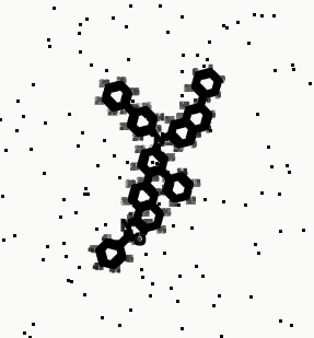 C1=CCCC(c2ccc3ccc(N(c4ccc(-c5ccccc5)cc4)c4ccc(-c5ccc6c(c5)CCc5oc(-c7ccccc7)nc5-6)c(C5=CCCC=C5)c4)cc3c2)=C1